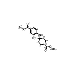 CC1(Nc2ccc(C(=O)OC(C)(C)C)cc2)CCN(C(=O)OC(C)(C)C)CC1